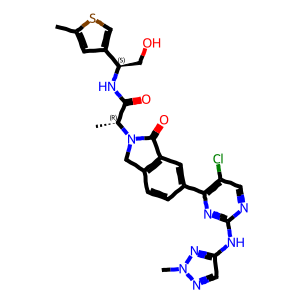 Cc1cc([C@@H](CO)NC(=O)[C@@H](C)N2Cc3ccc(-c4nc(Nc5cnn(C)n5)ncc4Cl)cc3C2=O)cs1